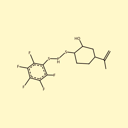 C=C(C)C1CCC(SPSc2c(F)c(F)c(F)c(F)c2F)C(O)C1